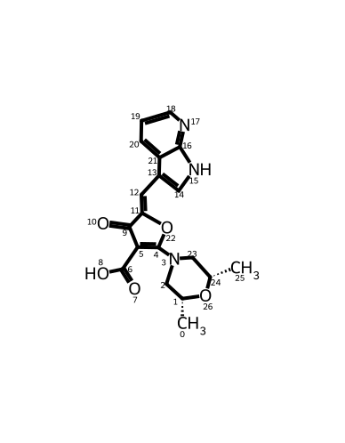 C[C@@H]1CN(C2=C(C(=O)O)C(=O)/C(=C/c3c[nH]c4ncccc34)O2)C[C@H](C)O1